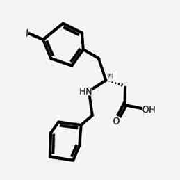 O=C(O)C[C@@H](Cc1ccc(I)cc1)NCc1ccccc1